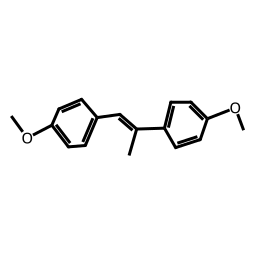 COc1ccc(/C=C(\C)c2ccc(OC)cc2)cc1